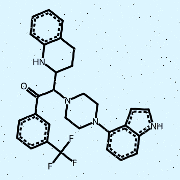 O=C(c1cccc(C(F)(F)F)c1)C(C1CCc2ccccc2N1)N1CCN(c2cccc3[nH]ccc23)CC1